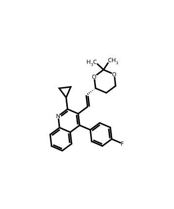 CC1(C)OCC[C@H](C=Cc2c(C3CC3)nc3ccccc3c2-c2ccc(F)cc2)O1